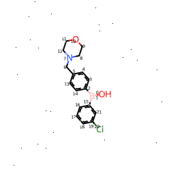 OB(c1ccc(CN2CCOCC2)cc1)c1cccc(Cl)c1